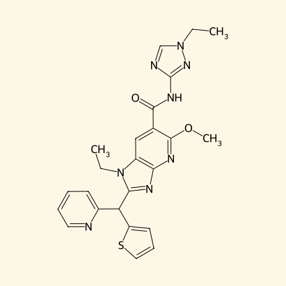 CCn1cnc(NC(=O)c2cc3c(nc2OC)nc(C(c2ccccn2)c2cccs2)n3CC)n1